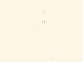 Cc1cc(C)nc(NC(=O)c2ccc(/C=C/C(C)(C)C)cc2)c1